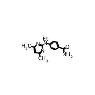 CCN(c1ccc(C(N)=O)cc1)c1nc(C)cc(C)n1